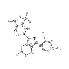 CNC(=O)[C@@H](NC(=O)c1nc(-c2ccc(F)cc2F)n2c1CN(C)CC2)C(C)(C)C